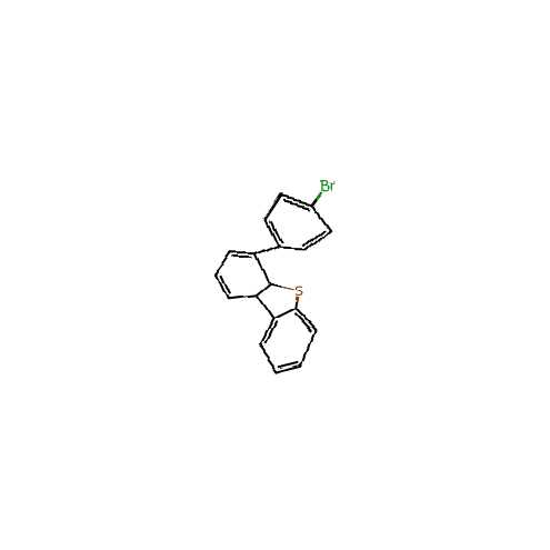 Brc1ccc(C2=CC=CC3c4ccccc4SC23)cc1